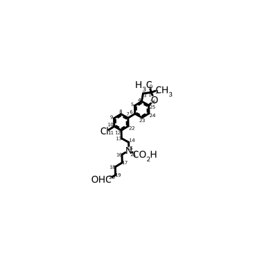 CC1(C)Cc2cc(-c3ccc(Cl)c(CCN(CCCCC=O)C(=O)O)c3)ccc2O1